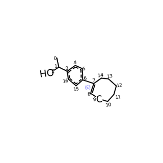 CC(O)c1ccc(/C2=C/CCCCCC2)cc1